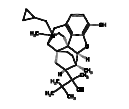 CC(C)(C)C(C)(O)[C@H]1C[C@@]23CC[C@@]1(C)[C@@H]1Oc4c(O)ccc5c4[C@@]12CC[N+](C)(CC1CC1)C3C5